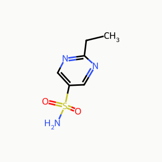 CCc1ncc(S(N)(=O)=O)cn1